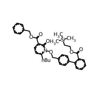 CCCCc1ccc(C(=O)OCc2ccccc2)c(=O)n1OCc1ccc(-c2ccccc2C(=O)OCC[Si](C)(C)C)cc1